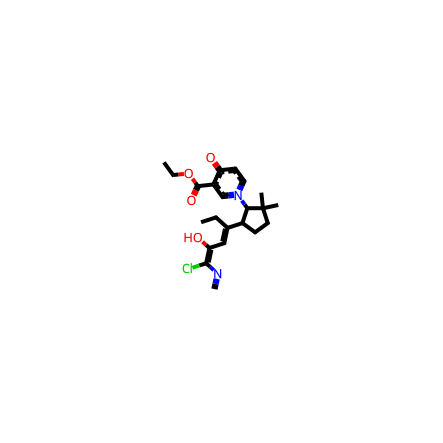 C=N/C(Cl)=C(O)\C=C(/CC)C1CCC(C)(C)C1n1ccc(=O)c(C(=O)OCC)c1